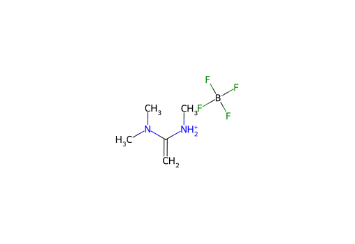 C=C([NH2+]C)N(C)C.F[B-](F)(F)F